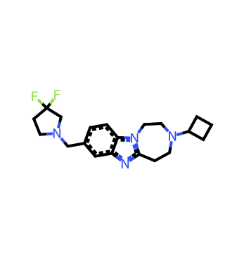 FC1(F)CCN(Cc2ccc3c(c2)nc2n3CCN(C3CCC3)CC2)C1